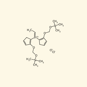 C[CH]=[Zr+2]([C]1=C(OCO[Si](C)(C)C)C=CC1)[C]1=C(OCO[Si](C)(C)C)C=CC1.[Cl-].[Cl-]